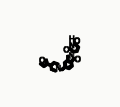 O=C1CCC(N2Cc3cc(CN4CCC(c5ccoc5)CC4)ccc3C2=O)C(=O)N1